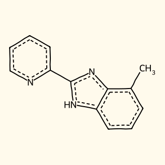 Cc1cccc2[nH]c(-c3ccccn3)nc12